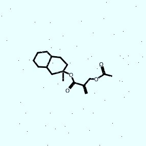 C=C(COC(C)=O)C(=O)OC1(C)CCC2CCCCC2C1